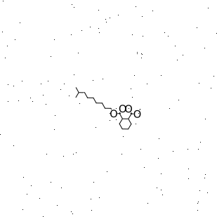 COC(=O)C1CCCCC1C(=O)OCCCCCCCC(C)C